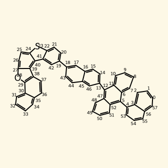 c1ccc2c(-c3c4ccccc4c(-c4ccc5cc(-c6ccc7sc8ccc9oc%10c%11ccccc%11ccc%10c9c8c7c6)ccc5c4)c4ccccc34)cccc2c1